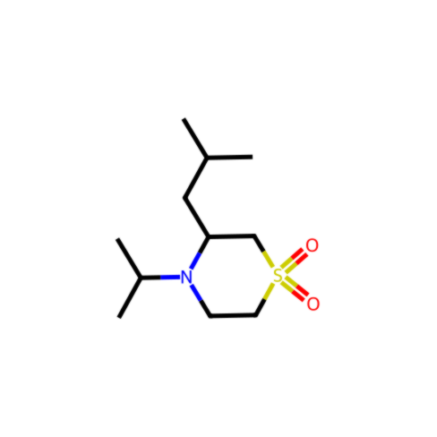 CC(C)CC1CS(=O)(=O)CCN1C(C)C